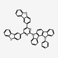 c1ccc(-n2c3ccccc3c3ccc4c(c5ccccc5n4-c4nc(-c5ccc6sc7ccccc7c6c5)cc(-c5ccc6sc7ccccc7c6c5)n4)c32)cc1